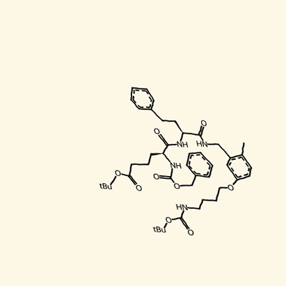 Cc1ccc(OCCCCNC(=O)OC(C)(C)C)cc1CNC(=O)[C@H](CCc1ccccc1)NC(=O)[C@H](CCCC(=O)OC(C)(C)C)NC(=O)OCc1ccccc1